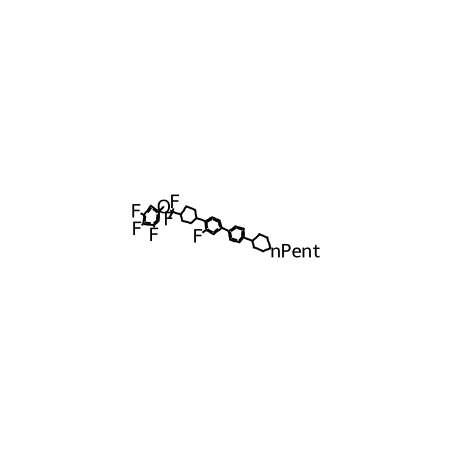 CCCCCC1CCC(c2ccc(-c3ccc(C4CCC(C(F)(F)Oc5cc(F)c(F)c(F)c5)CC4)c(F)c3)cc2)CC1